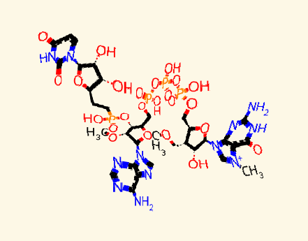 COC[C@H]1[C@@H](O)[C@H](n2c[n+](C)c3c(=O)[nH]c(N)nc32)O[C@@H]1COP(=O)(O)OP(=O)(O)OP(=O)(O)OCC1O[C@@H](n2cnc3c(N)ncnc32)[C@H](OC)[C@@H]1OP(=O)(O)CC[C@H]1O[C@@H](n2ccc(=O)[nH]c2=O)[C@H](O)[C@@H]1O